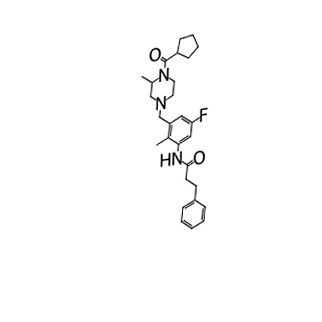 Cc1c(CN2CCN(C(=O)C3CCCC3)C(C)C2)cc(F)cc1NC(=O)CCc1ccccc1